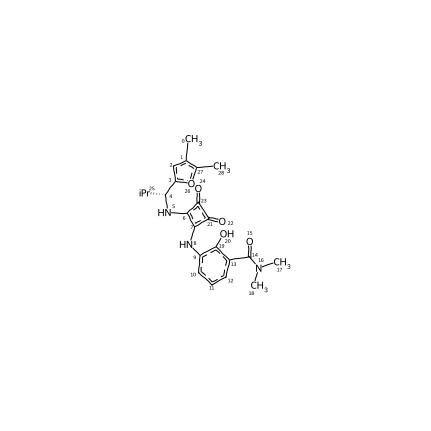 Cc1cc([C@H](Nc2c(Nc3cccc(C(=O)N(C)C)c3O)c(=O)c2=O)C(C)C)oc1C